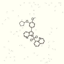 COc1ccc(-c2cn(S(=O)(=O)c3cccc4cccnc34)c3ncccc23)cc1OC1CCCC1